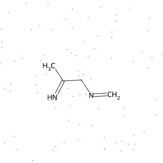 C=NCC(C)=N